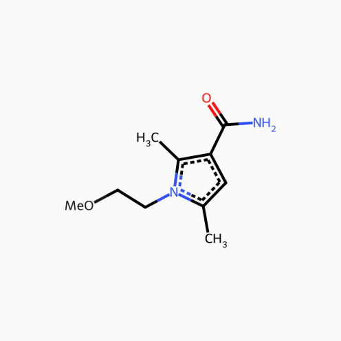 COCCn1c(C)cc(C(N)=O)c1C